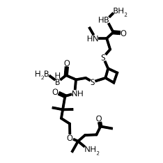 BBC(=O)C(CSC1CCC1SCC(NC(=O)C(C)(C)CCOC(C)(N)CCC(C)=O)C(=O)BB)NC